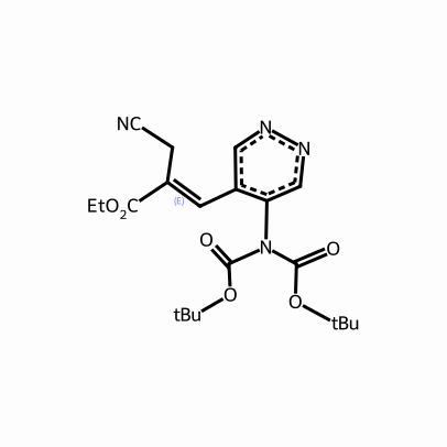 CCOC(=O)/C(=C/c1cnncc1N(C(=O)OC(C)(C)C)C(=O)OC(C)(C)C)CC#N